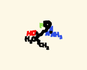 CCC[C@@H](C)[C@H](CO)CCc1nc(N)nc2cccc(F)c12